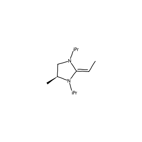 C/C=C1\N(C(C)C)C[C@H](C)N1C(C)C